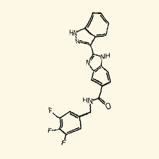 O=C(NCc1cc(F)c(F)c(F)c1)c1ccc2[nH]c(-c3n[nH]c4ccccc34)nc2c1